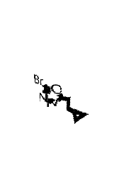 Brc1nnc(CCC2CC2)o1